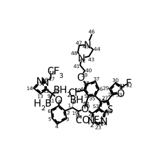 B[C@@H](c1ccccc1OC(B)(B)c1ccnn1CC(F)(F)F)[C@@H](Oc1ncnc2sc(-c3ccc(F)o3)c(-c3ccc(OCCN4CCN(C)CC4)c(Cl)c3C)c12)C(=O)OCC